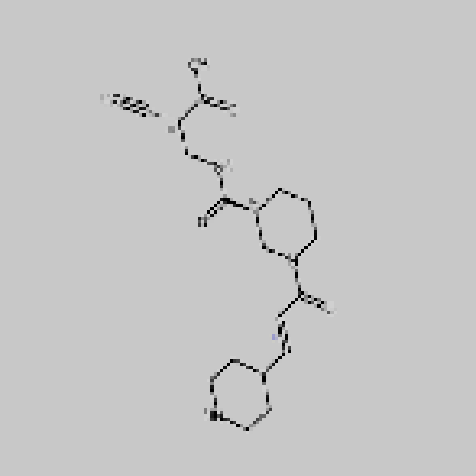 C#C[C@@H](CNC(=O)[C@H]1CCCN(C(=O)/C=C/C2CCNCC2)C1)C(=O)O